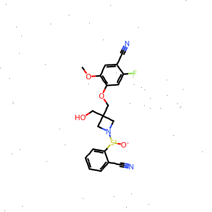 COc1cc(C#N)c(F)cc1OCC1(CO)CN([S+]([O-])c2ccccc2C#N)C1